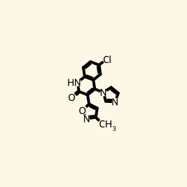 Cc1cc(-c2c(-n3ccnc3)c3cc(Cl)ccc3[nH]c2=O)on1